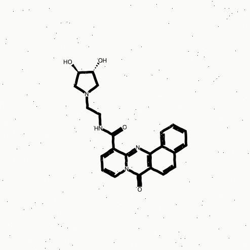 O=C(NCCN1C[C@@H](O)[C@H](O)C1)c1cccn2c(=O)c3ccc4ccccc4c3nc12